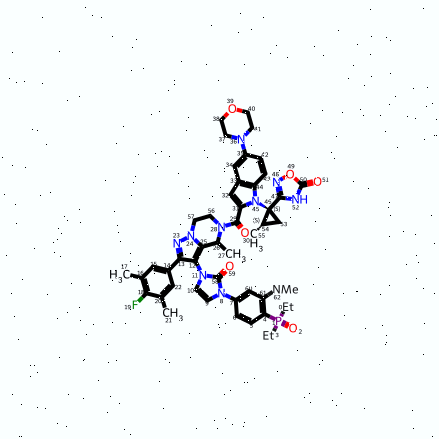 CCP(=O)(CC)c1ccc(-n2ccn(-c3c(-c4cc(C)c(F)c(C)c4)nn4c3C(C)N(C(=O)c3cc5cc(N6CCOCC6)ccc5n3[C@@]3(c5noc(=O)[nH]5)C[C@@H]3C)CC4)c2=O)cc1NC